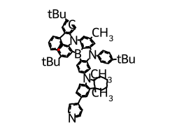 Cc1cc2c3c(c1)N(c1ccc(C(C)(C)C)cc1-c1ccccc1)c1ccc(C(C)(C)C)cc1B3c1ccc(N3c4ccc(-c5ccncc5)cc4C4(C)CCCCC34C)cc1N2c1ccc(C(C)(C)C)cc1